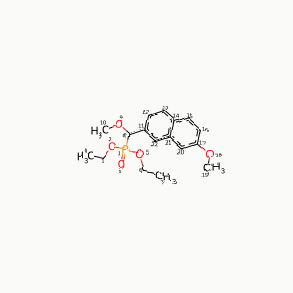 CCOP(=O)(OCC)C(OC)c1ccc2ccc(OC)cc2c1